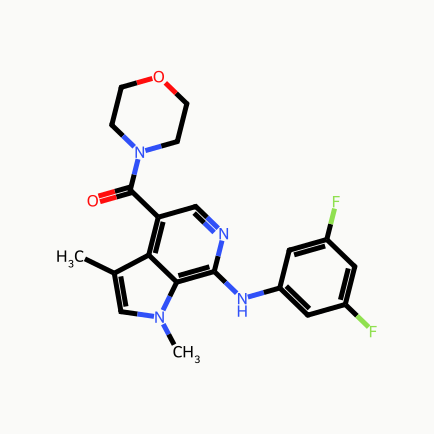 Cc1cn(C)c2c(Nc3cc(F)cc(F)c3)ncc(C(=O)N3CCOCC3)c12